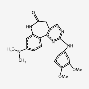 COc1ccc(Nc2ncc3c(n2)-c2ccc(N(C)C)cc2NC(=O)C3)cc1OC